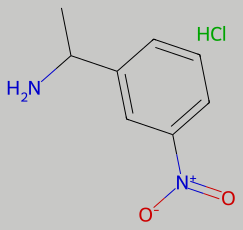 CC(N)c1cccc([N+](=O)[O-])c1.Cl